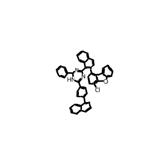 Clc1ccc(-c2ccc3ccccc3c2C2=NC(c3ccccc3)NC(c3ccc(-c4cccc5ccccc45)cc3)=N2)c2c1oc1ccccc12